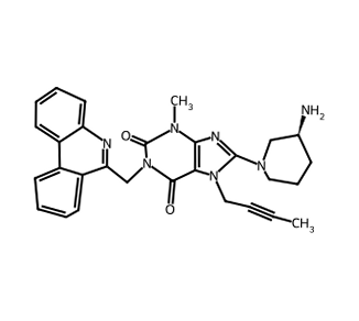 CC#CCn1c(N2CCC[C@H](N)C2)nc2c1c(=O)n(Cc1nc3ccccc3c3ccccc13)c(=O)n2C